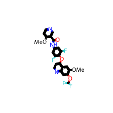 COc1cc2c(Oc3c(F)cc(NC(=O)c4cnccc4OC)cc3F)ccnc2cc1OC(F)F